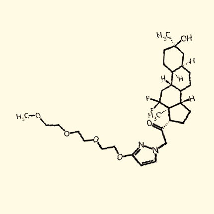 COCCOCCOCCOc1ccn(CC(=O)[C@H]2CC[C@H]3C4CC[C@@H]5C[C@](C)(O)CC[C@@H]5[C@H]4CC(F)(F)[C@]23C)n1